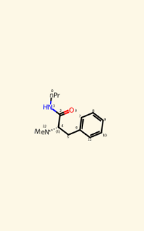 CCCNC(=O)[C@H](Cc1ccccc1)NC